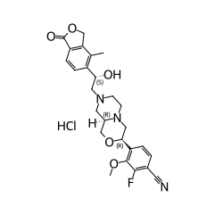 COc1c([C@@H]2CN3CCN(C[C@@H](O)c4ccc5c(c4C)COC5=O)C[C@@H]3CO2)ccc(C#N)c1F.Cl